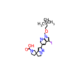 C[Si](C)(C)CCOCn1cc(I)c2cc(-c3cc4n(n3)CCC43CCN(C(=O)O)C3)cnc21